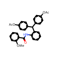 COc1ccccc1C(=O)Nc1ccccc1C(c1ccc(OC(C)=O)cc1)c1ccc(OC(C)=O)cc1